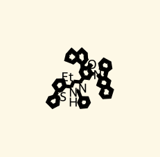 CCC1C(c2cc(-n3c4ccccc4c4cc5ccccc5cc43)c3oc4ccc5ccccc5c4c3c2)N=C(c2ccccc2)NC1c1cccc2c1sc1ccccc12